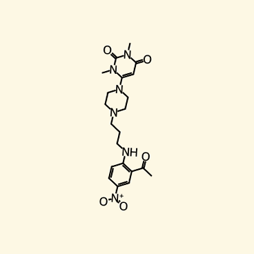 CC(=O)c1cc([N+](=O)[O-])ccc1NCCCN1CCN(c2cc(=O)n(C)c(=O)n2C)CC1